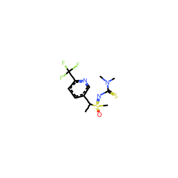 CC(c1ccc(C(F)(F)F)nc1)S(C)(=O)=NC(=S)N(C)C